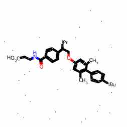 Cc1cc(OCC(c2ccc(C(=O)NCCC(=O)O)cc2)C(C)C)cc(C)c1-c1ccc(C(C)(C)C)cc1